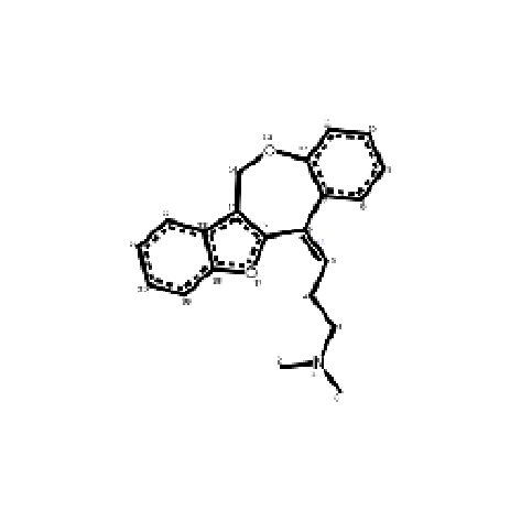 CN(C)CC/C=C1/c2ccccc2OCc2c1oc1ccccc21